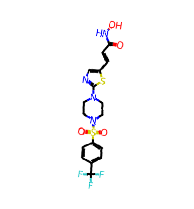 O=C(/C=C/c1cnc(N2CCN(S(=O)(=O)c3ccc(C(F)(F)F)cc3)CC2)s1)NO